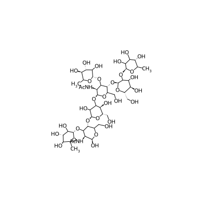 CC(=O)N[C@H]1C(O[C@@H]2OC(C)[C@@H](O)[C@H](O)C2O)[C@H](O[C@@H]2O[C@@H](CO)[C@H](O)C(O)C2O[C@@H]2OC(C)[C@@H](O)C(O)C2O)C(CO)O[C@H]1OC1C(O)[C@H](O[C@@H]2C(CO)O[C@@H](O)[C@@H](NC(C)=O)C2O[C@@H]2OC(C)[C@@H](O)[C@H](O)C2O)O[C@@H](CO)[C@@H]1O